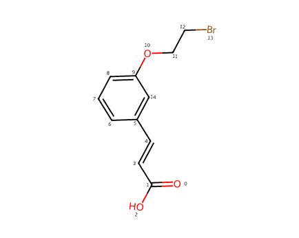 O=C(O)C=Cc1cccc(OCCBr)c1